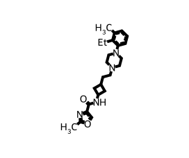 CCc1c(C)cccc1N1CCN(CCC2CC(NC(=O)c3coc(C)n3)C2)CC1